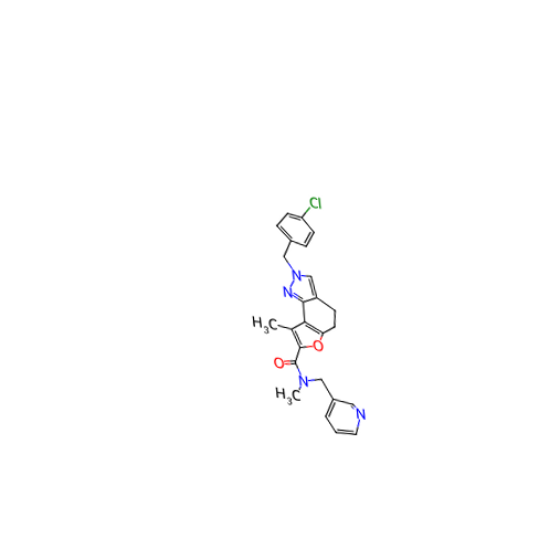 Cc1c(C(=O)N(C)Cc2cccnc2)oc2c1-c1nn(Cc3ccc(Cl)cc3)cc1CC2